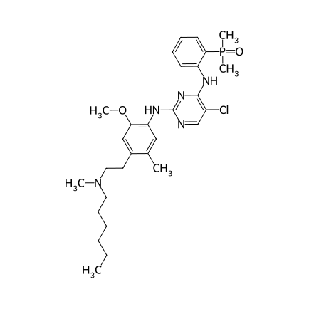 CCCCCCN(C)CCc1cc(OC)c(Nc2ncc(Cl)c(Nc3ccccc3P(C)(C)=O)n2)cc1C